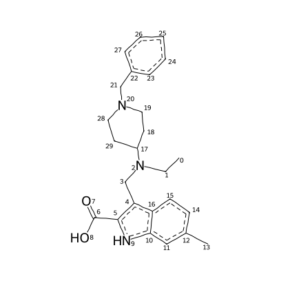 CCN(Cc1c(C(=O)O)[nH]c2cc(C)ccc12)C1CCN(Cc2ccccc2)CC1